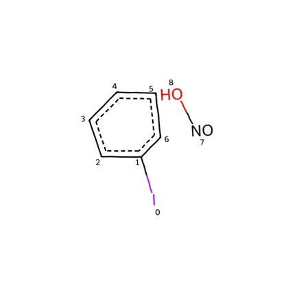 Ic1ccccc1.O=NO